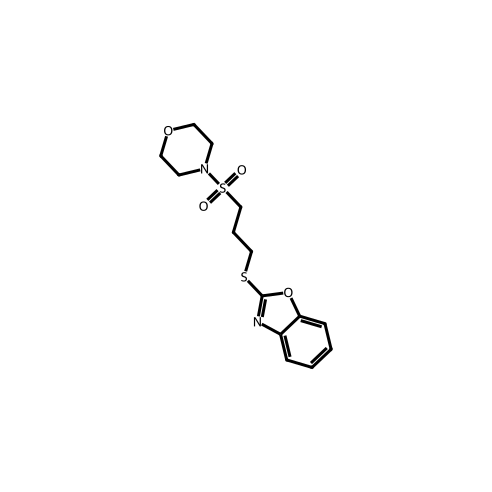 O=S(=O)(CCCSc1nc2ccccc2o1)N1CCOCC1